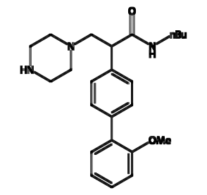 CCCCNC(=O)C(CN1CCNCC1)c1ccc(-c2ccccc2OC)cc1